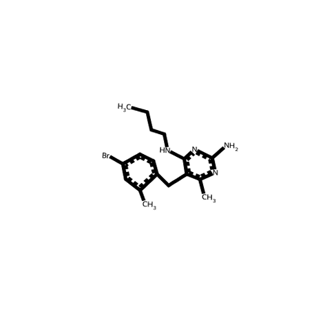 CCCCNc1nc(N)nc(C)c1Cc1ccc(Br)cc1C